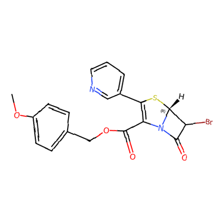 COc1ccc(COC(=O)C2=C(c3cccnc3)S[C@@H]3C(Br)C(=O)N23)cc1